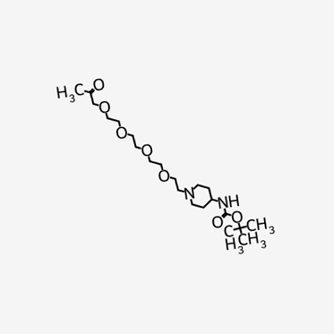 CC(=O)COCCOCCOCCOCCN1CCC(NC(=O)OC(C)(C)C)CC1